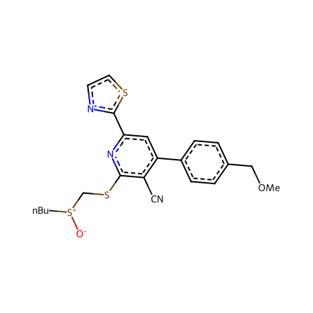 CCCC[S+]([O-])CSc1nc(-c2nccs2)cc(-c2ccc(COC)cc2)c1C#N